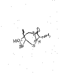 C=CC1(C(=O)O)CN2C(=O)C(N)[C@H]2SC1C(C)(C)C